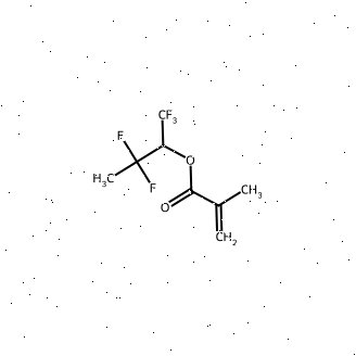 C=C(C)C(=O)OC(C(C)(F)F)C(F)(F)F